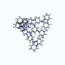 N#Cc1c(-n2c3cc(-n4c5ccccc5c5ccccc54)ccc3c3ccc(-n4c5ccccc5c5ccccc54)cc32)cc(-c2cc(F)cc(F)c2)cc1-n1c2cc(-n3c4ccccc4c4ccccc43)ccc2c2ccc(-n3c4ccccc4c4ccccc43)cc21